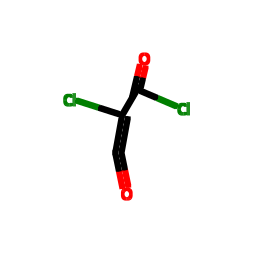 O=C=C(Cl)C(=O)Cl